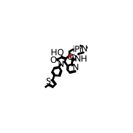 Cc1ccc(-c2ccc(N3C(=O)C(O)=C(C(=O)CC(C)C)C3c3cccnc3C(=O)NCCN(C)C)cc2)s1